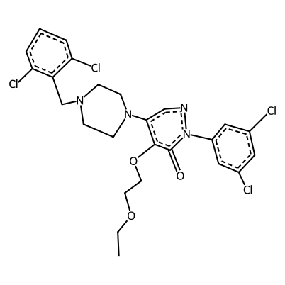 CCOCCOc1c(N2CCN(Cc3c(Cl)cccc3Cl)CC2)cnn(-c2cc(Cl)cc(Cl)c2)c1=O